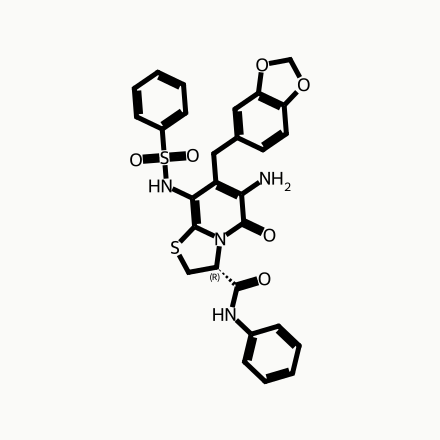 Nc1c(Cc2ccc3c(c2)OCO3)c(NS(=O)(=O)c2ccccc2)c2n(c1=O)[C@H](C(=O)Nc1ccccc1)CS2